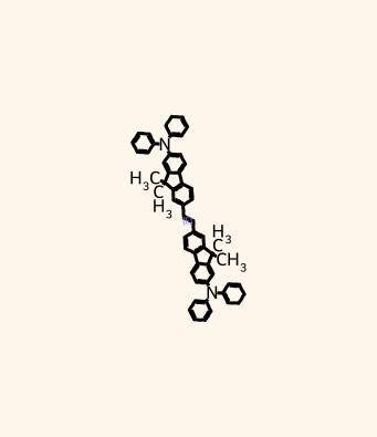 CC1(C)c2cc(/C=C/c3ccc4c(c3)C(C)(C)c3cc(N(C5=CC=CCC5)c5ccccc5)ccc3-4)ccc2-c2ccc(N(C3=CCCC=C3)c3ccccc3)cc21